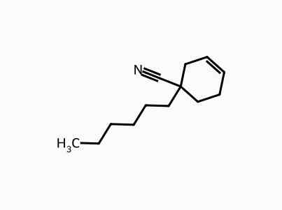 CCCCCCC1(C#N)CC=CCC1